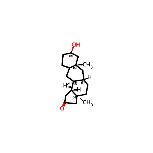 C[C@]12C[C@H](O)CCC1C[C@H]1[C@@H](CC[C@@]3(C)CC(=O)C[C@H]13)C2